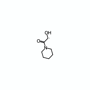 O=C([CH]O)N1CCCCC1